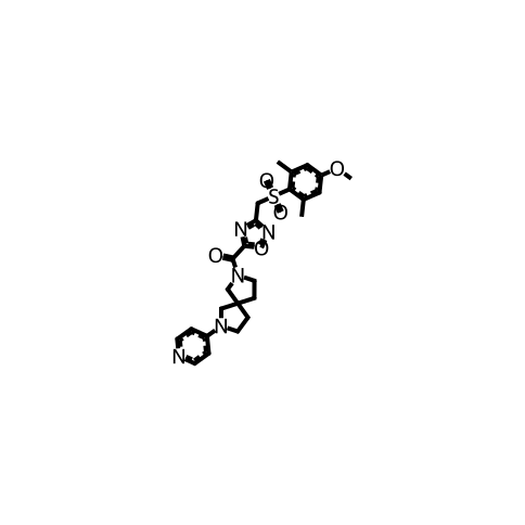 COc1cc(C)c(S(=O)(=O)Cc2noc(C(=O)N3CCC4(CCN(c5ccncc5)C4)C3)n2)c(C)c1